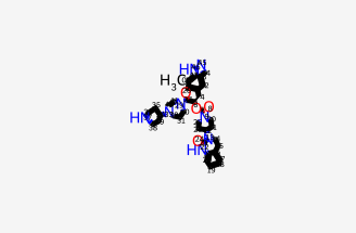 Cc1cc(C[C@@H](OC(=O)N2CCC(N3CCc4ccccc4NC3=O)CC2)C(=O)N2CCCN(C3CCNCC3)CC2)cc2cn[nH]c12